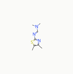 Cc1nc(N=CN(C)C)sc1C